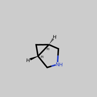 C1NC[C@@H]2C[C@@H]12